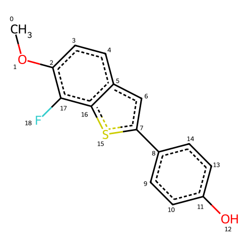 COc1ccc2cc(-c3ccc(O)cc3)sc2c1F